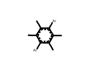 CC(=O)c1c(C)c(C)c(C(C)=O)c(C)c1C